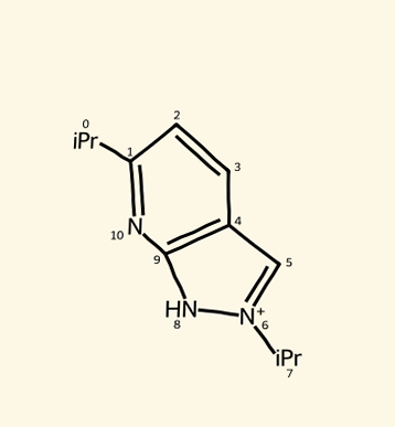 CC(C)c1ccc2c[n+](C(C)C)[nH]c2n1